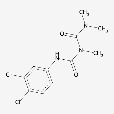 CN(C)C(=O)N(C)C(=O)Nc1ccc(Cl)c(Cl)c1